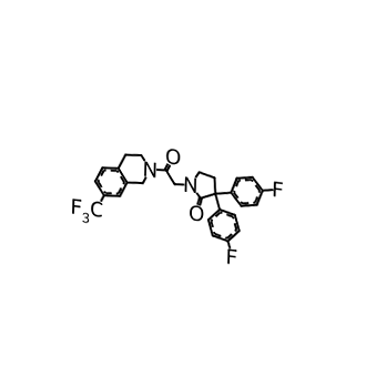 O=C(CN1CCC(c2ccc(F)cc2)(c2ccc(F)cc2)C1=O)N1CCc2ccc(C(F)(F)F)cc2C1